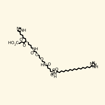 O=C(O)CCC(=O)[C@@H](CCCCNC(=O)COCCOCCNC(=O)CCCS(=O)(=O)NC(=O)CCCCCCCCCCCCCCCc1nnn[nH]1)CC(=O)CCc1cnc[nH]1